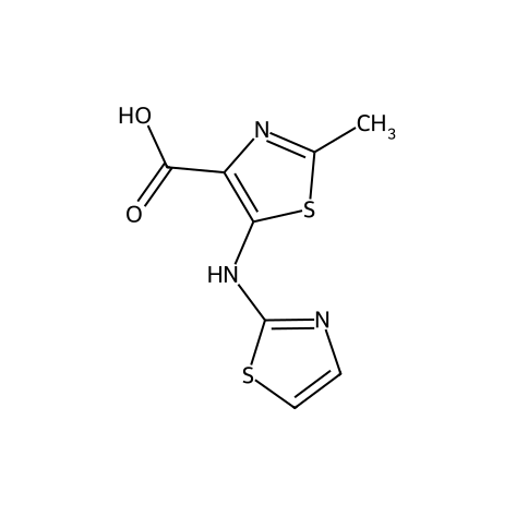 Cc1nc(C(=O)O)c(Nc2nccs2)s1